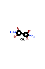 C.Nc1c(Br)cc(-c2cc(Br)c(N)c(Br)c2)cc1Br